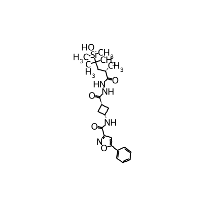 C[C@@H](CC(C)(C)[Si](C)(C)O)C(=O)NNC(=O)[C@H]1C[C@H](NC(=O)c2cc(-c3ccccc3)on2)C1